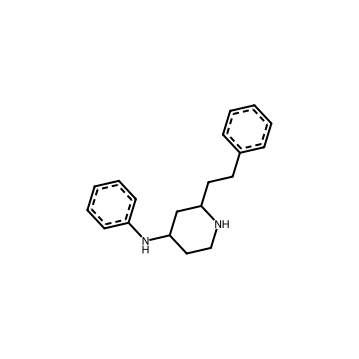 c1ccc(CCC2CC(Nc3ccccc3)CCN2)cc1